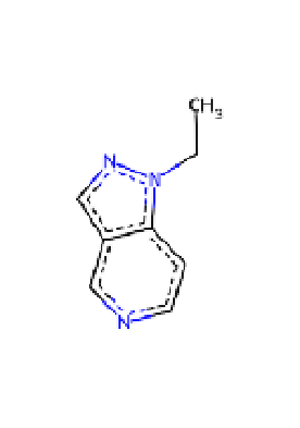 CCn1ncc2cnccc21